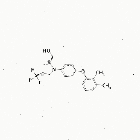 Cc1cccc(Oc2ccc(N3C[C@@H](C(F)(F)F)C[C@H]3CO)cc2)c1C